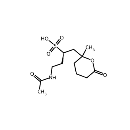 CC(=O)NCC[C@H](CC1(C)CCCC(=O)O1)S(=O)(=O)O